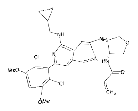 C=CC(=O)N[C@H]1COC[C@H]1Nc1cc2c(NCC3CC3)nc(-c3c(Cl)c(OC)cc(OC)c3Cl)cc2cn1